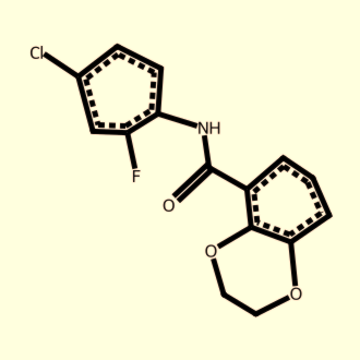 O=C(Nc1ccc(Cl)cc1F)c1cccc2c1OCCO2